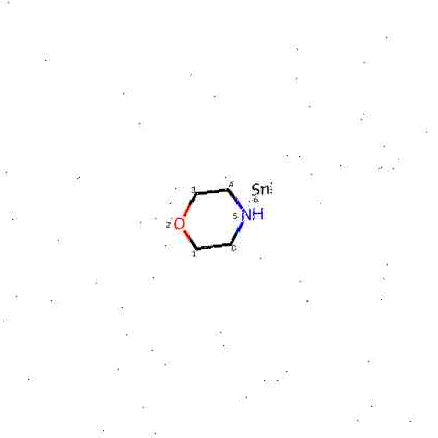 C1COCCN1.[Sn]